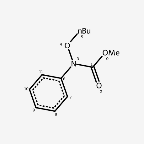 [CH2]OC(=O)N(OCCCC)c1ccccc1